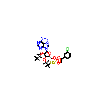 CC(C)(C)[Si](C)(C)O[C@@H]1[C@H](O[Si](C)(C)C(C)(C)C)[C@@H](CO[PH]2(S)OCC(c3cccc(Cl)c3)O2)O[C@H]1n1cnc2c(N)ncnc21